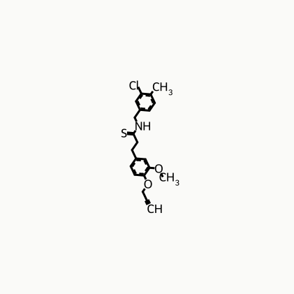 C#CCOc1ccc(CCC(=S)NCc2ccc(C)c(Cl)c2)cc1OC